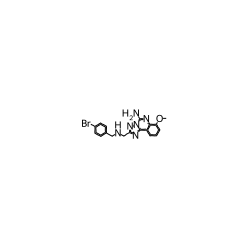 COc1cccc2c1nc(N)n1nc(CNCc3ccc(Br)cc3)nc21